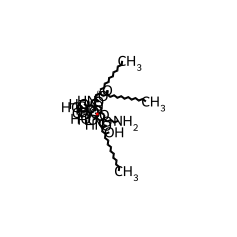 CCCCCCCCCCCC(=O)O[C@H](CCCCCCCCCCC)CC(=O)NC1C(OCC2OC(OCCN)C(NC(=O)CC(O)CCCCCCCCCCC)C(O)C2O)OC(CO)C(OP(=O)(O)O)C1O